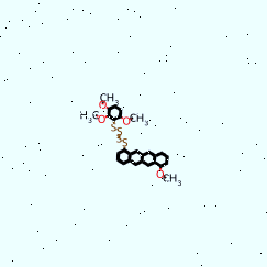 COc1ccc(OC)c(SSSSc2cccc3cc4cc5c(OC)cccc5cc4cc23)c1OC